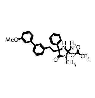 COc1cccc(-c2cccc(CCC3(c4ccccc4)NC(N)(OC(=O)C(F)(F)F)N(C)C3=O)c2)c1